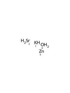 O.[KH].[SrH2].[Zn]